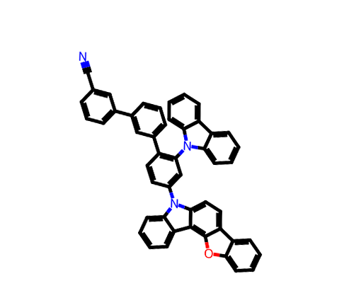 N#Cc1cccc(-c2cccc(-c3ccc(-n4c5ccccc5c5c6oc7ccccc7c6ccc54)cc3-n3c4ccccc4c4ccccc43)c2)c1